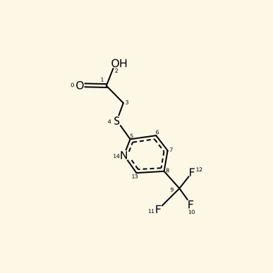 O=C(O)CSc1ccc(C(F)(F)F)cn1